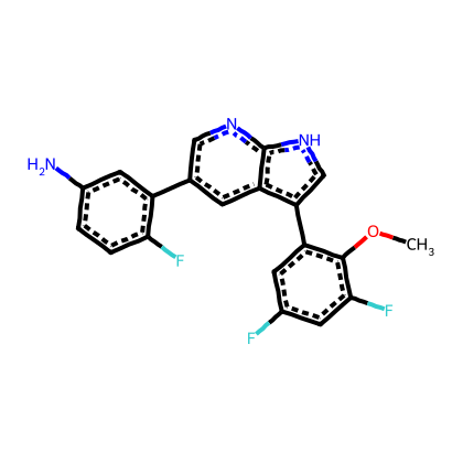 COc1c(F)cc(F)cc1-c1c[nH]c2ncc(-c3cc(N)ccc3F)cc12